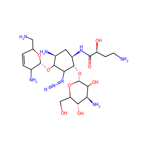 [N-]=[N+]=NC1C(O[C@H]2OC(CN)C=CC2N)[C@@H](N)C[C@@H](NC(=O)[C@@H](O)CCN)[C@@H]1O[C@H]1OC(CO)[C@@H](O)[C@H](N)C1O